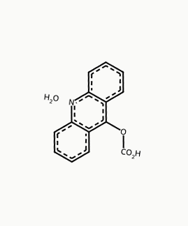 O.O=C(O)Oc1c2ccccc2nc2ccccc12